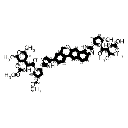 COC[C@H]1C[C@@H](c2ncc(-c3ccc4c(c3)COc3cc5c(ccc6nc([C@@H]7CC[C@H](C)N7C(=O)[C@@H](NC(=O)O)C(C)C)[nH]c65)cc3-4)[nH]2)N(C(=O)[C@@H](NC(=O)OC)C2C[C@@H](C)O[C@H](C)C2)C1